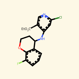 CCOC(=O)c1cnc(Cl)cc1NC1CCOc2c(F)cccc21